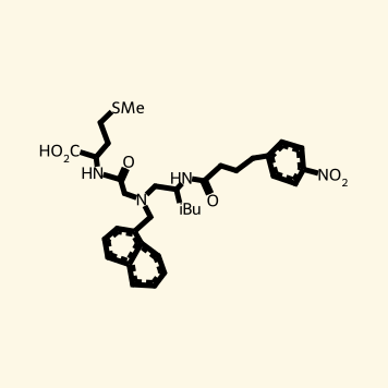 CCC(C)C(CN(CC(=O)NC(CCSC)C(=O)O)Cc1cccc2ccccc12)NC(=O)CCCc1ccc([N+](=O)[O-])cc1